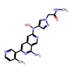 CNC(=O)Cn1cc(N(O)c2cc3cc(-c4cnccc4C)nc(N)c3cn2)cn1